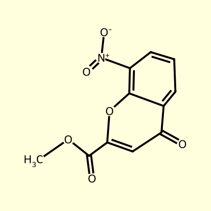 COC(=O)c1cc(=O)c2cccc([N+](=O)[O-])c2o1